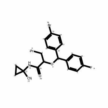 CC(C)CC(OC(c1ccc(F)cc1)c1ccc(Br)cc1)C(=O)NC1(C#N)CC1